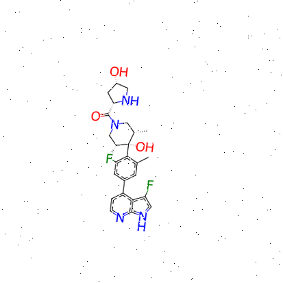 Cc1cc(-c2ccnc3[nH]cc(F)c23)cc(F)c1[C@@]1(O)[C@H](C)CN(C(=O)[C@@H]2C[C@H](O)CN2)C[C@@H]1C